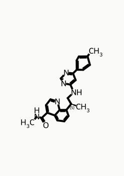 CNC(=O)c1ccnc2c([C@H](C)CNc3cc(-c4ccc(C)cc4)ncn3)cccc12